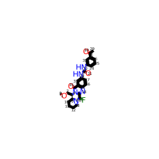 COCCn1c(C(F)N2CCCCC2)nc2ccc(NC(=O)Nc3cccc(C(C)=O)c3)cc2c1=O